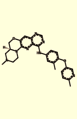 Cc1ccc(Oc2ccc(Nc3ncnc4cc5c(nc34)N3CCN(C)C[C@H]3CO5)cc2C)cn1